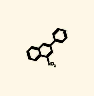 O=[N+]([O-])c1cc(-c2cc[c]cc2)cc2ccccc12